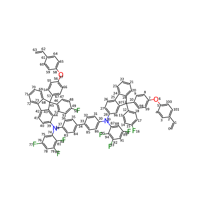 C=Cc1ccc(Oc2ccc(C3(c4ccc(F)cc4)c4ccccc4-c4ccc(N(c5ccc(-c6ccc(N(c7ccc8c(c7)C(c7ccc(F)cc7)(c7ccc(Oc9ccc(C=C)cc9)cc7)c7ccccc7-8)c7cc(F)cc(F)c7F)cc6)cc5)c5cc(F)cc(F)c5F)cc43)cc2)cc1